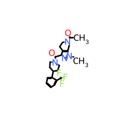 CCn1nc(C(=O)N2CCC(c3ccccc3C(F)(F)F)CC2)c2c1CN(C(C)=O)CC2